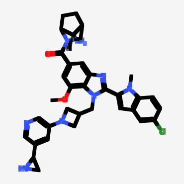 COc1cc(C(=O)N2CC3CCC2[C@@H]3N)cc2nc(-c3cc4cc(Cl)ccc4n3C)n(CC3CN(c4cncc(C5CN5)c4)C3)c12